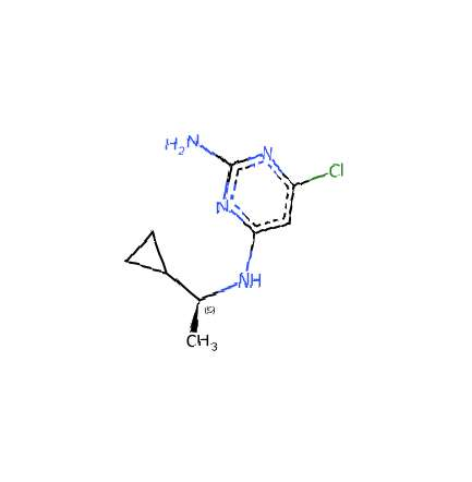 C[C@H](Nc1cc(Cl)nc(N)n1)C1CC1